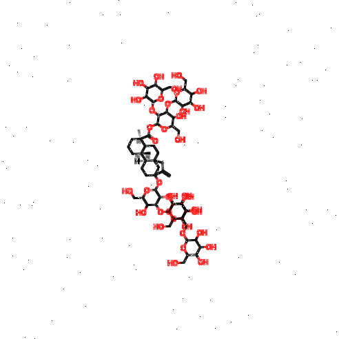 C=C1CC23CCC4[C@](C)(C(=O)OC5OC(CO)C(O)C(OC6OC(CO)C(O)C(O)C6O)C5OC5OC(CO)C(O)C(O)C5O)CCC[C@@]4(C)[C@@H]2CCC1(OC1OC(CO)C(O)C(OC2OC(COC4OC(CO)C(O)C(O)C4O)C(O)C(O)C2O)C1OC1OC(CO)C(O)C(O)C1O)C3